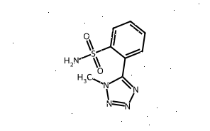 Cn1nnnc1-c1ccccc1S(N)(=O)=O